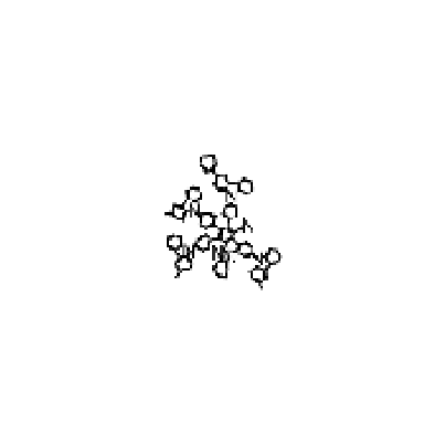 Cc1ccc2c(c1)c1ccccc1n2-c1ccc(-c2c(C#N)c(-c3ccc(-n4c5ccccc5c5cc(-c6ccccc6)ccc54)cc3)c(-c3ccc(-n4c5ccccc5c5cc(C)ccc54)cc3)c(-c3ccc(-n4c5ccccc5c5cc(C)ccc54)cc3)c2-c2nc3ccccc3o2)cc1